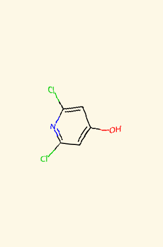 Oc1cc(Cl)nc(Cl)c1